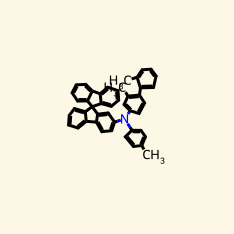 Cc1ccc(N(c2ccc(-c3ccccc3C)c(C)c2)c2ccc3c(c2)C2(c4ccccc4-c4ccccc42)c2ccccc2-3)cc1